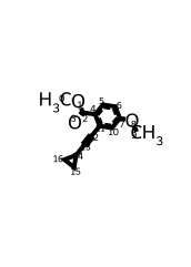 COC(=O)c1ccc(OC)cc1C#CC1CC1